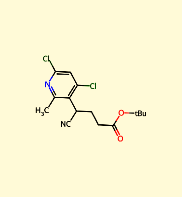 Cc1nc(Cl)cc(Cl)c1C(C#N)CCC(=O)OC(C)(C)C